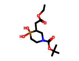 CCOC(=O)CC1CN(C(=O)OC(C)(C)C)CCS1(O)O